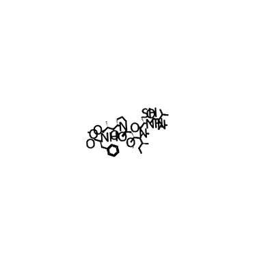 CC[C@H](C)[C@@H]([C@@H](CC(=O)N1CCC[C@H]1[C@H](OC)[C@@H](C)C(=O)N[C@@H](Cc1ccccc1)C(=O)OC)OC)N(C)C(=O)[C@H](CS)NC(=O)C(C(C)C)N(C)C